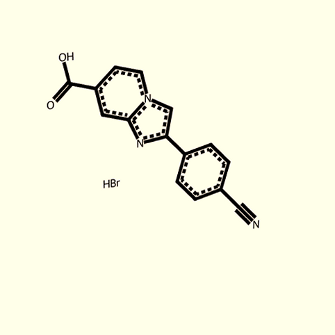 Br.N#Cc1ccc(-c2cn3ccc(C(=O)O)cc3n2)cc1